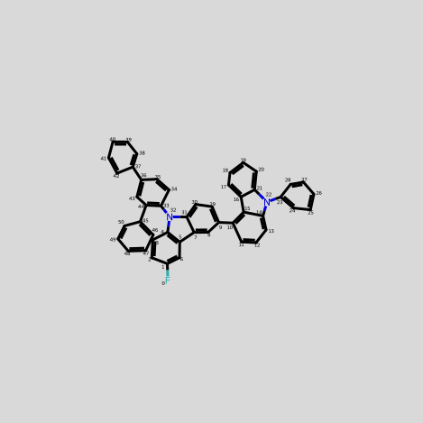 Fc1ccc2c(c1)c1cc(-c3cccc4c3c3ccccc3n4-c3ccccc3)ccc1n2-c1ccc(-c2ccccc2)cc1-c1ccccc1